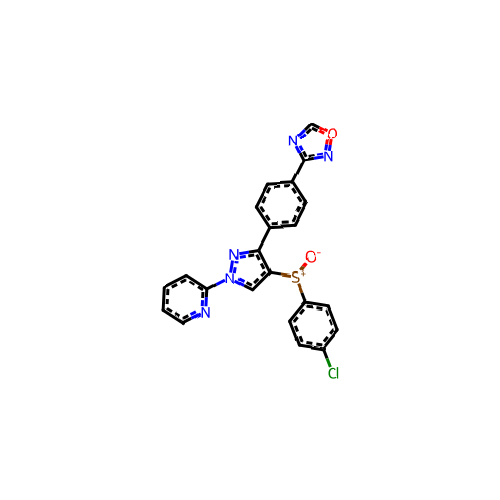 [O-][S+](c1ccc(Cl)cc1)c1cn(-c2ccccn2)nc1-c1ccc(-c2ncon2)cc1